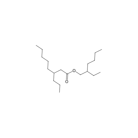 CCCCCC(CCC)CC(=O)OCC(CC)CCCC